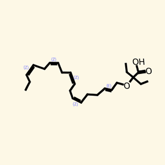 CC/C=C\C/C=C\C/C=C\C/C=C\CC/C=C/COC(CC)(CC)C(=O)O